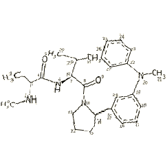 CNC(C)C(=O)N[C@H](C(=O)N1CCCC1c1cccc(N(C)c2ccccc2)c1)C(C)C